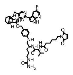 CC(C)[C@H](NC(=O)CCCCCN1C(=O)C=CC1=O)C(=O)N[C@@H](CCCNC(N)=O)CNc1ccc(COC(=O)[C@H]2C3CCC(CC3)[C@@H]2Nc2nc(-c3c[nH]c4ncc(F)cc34)ncc2F)cc1